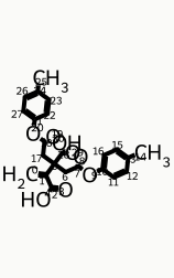 C=C(C(=O)O)C(CC(=O)Oc1ccc(C)cc1)(CC(=O)Oc1ccc(C)cc1)C(=O)O